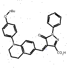 CCCCOc1ccc(N2CCCc3cc(/C=C4\C(=O)N(c5ccccc5)N=C4C(=O)O)ccc32)cc1